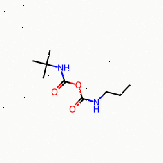 CCCNC(=O)OC(=O)NC(C)(C)C